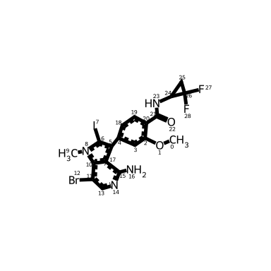 COc1cc(-c2c(I)n(C)c3c(Br)cnc(N)c23)ccc1C(=O)NC1CC1(F)F